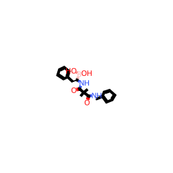 CC(C)(C(=O)NCc1ccccc1)C(=O)N[C@@H](Cc1ccccc1)B(O)O